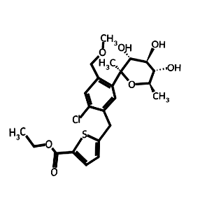 CCOC(=O)c1ccc(Cc2cc([C@]3(C)O[C@H](C)[C@@H](O)[C@H](O)[C@H]3O)c(COC)cc2Cl)s1